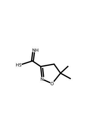 CC1(C)CC(C(=N)S)=NO1